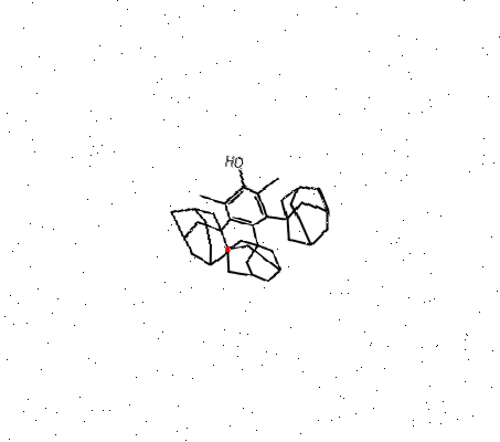 Cc1c(O)c(C)c(C23CC4CC(CC(C4)C2)C3)c(C23CC4CC(CC(C4)C2)C3)c1C12CC3CC(CC(C3)C1)C2